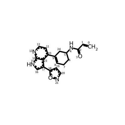 C=CC(=O)NC1CCC=C(c2ccnc3[nH]cc(-c4ccno4)c23)C1